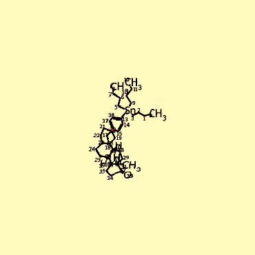 CCC[CH2][Sn]([CH2]CCC)([CH2]CCC)[c]1ccc(C[C@]23CCCCC2CC[C@@H]2[C@H]3CC[C@]3(C)C(=O)CC[C@@H]23)cc1